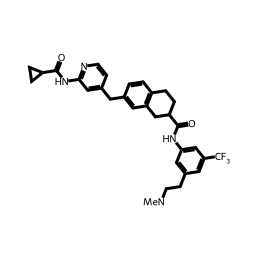 CNCCc1cc(NC(=O)C2CCc3ccc(Cc4ccnc(NC(=O)C5CC5)c4)cc3C2)cc(C(F)(F)F)c1